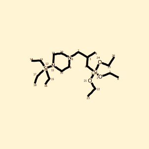 CCO[Si](CC(C)CN1CCN([Si](CC)(CC)CC)CC1)(OCC)OCC